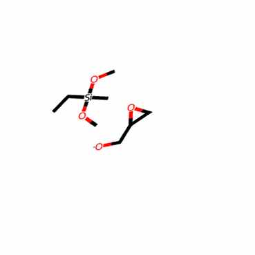 CC[Si](C)(OC)OC.[O]CC1CO1